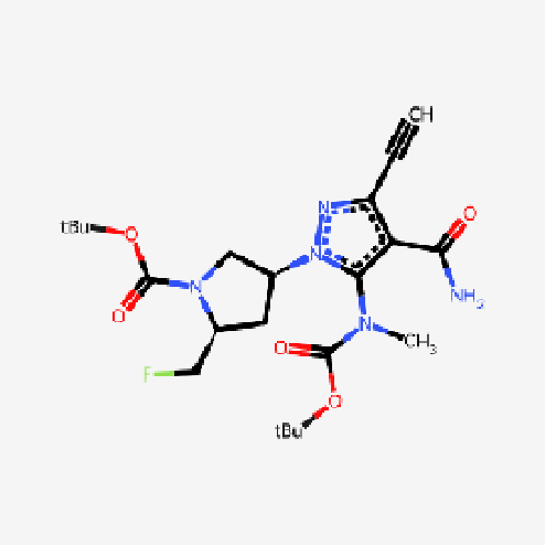 C#Cc1nn([C@H]2C[C@@H](CF)N(C(=O)OC(C)(C)C)C2)c(N(C)C(=O)OC(C)(C)C)c1C(N)=O